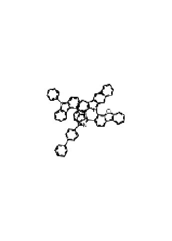 c1ccc(-c2ccc(-c3nc(-c4ccc5c(oc6ccccc65)c4-n4c5cc6ccccc6cc5c5ccc6ccccc6c54)nc(-c4cccc5c4c4ccccc4n5-c4ccccc4)n3)cc2)cc1